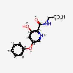 O=C(O)CNC(=O)c1ncc(Oc2ccccc2)cc1O